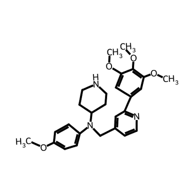 COc1ccc(N(Cc2ccnc(-c3cc(OC)c(OC)c(OC)c3)c2)C2CCNCC2)cc1